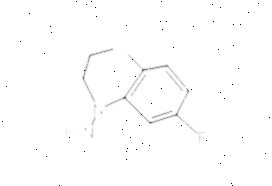 NN1CCOc2ccc(F)cc21